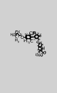 Cc1cc(OCCCC(C)(C)O)cc(C)c1-c1cc(COc2cc3c(cn2)[C@H]2[C@@H](C3)[C@@H]2C(=O)OCC(C)C)c(F)cc1F